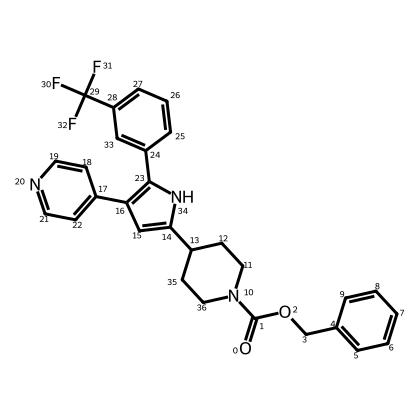 O=C(OCc1ccccc1)N1CCC(c2cc(-c3ccncc3)c(-c3cccc(C(F)(F)F)c3)[nH]2)CC1